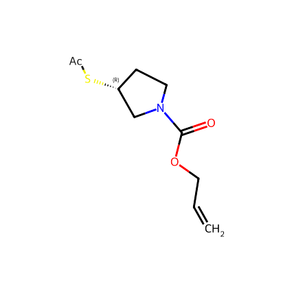 C=CCOC(=O)N1CC[C@@H](SC(C)=O)C1